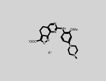 COc1cc(N2CCN(C)CC2)ccc1Nc1ncc2c(n1)-c1noc(C(=O)[O-])c1CC2.[K+]